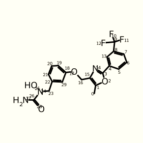 Cc1oc(-c2cccc(C(F)(F)F)c2)nc1COc1cccc(CN(O)C(N)=O)c1